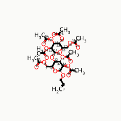 C=CCO[C@@H]1OC(COC(C)=O)[C@@H](O[C@H]2OC(COC(C)=O)[C@@H](OC(C)=O)[C@H](OC(C)=O)C2OC(C)=O)[C@H](OC(C)=O)C1OC(C)=O